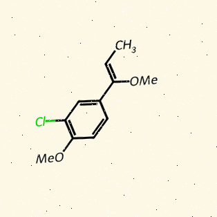 CC=C(OC)c1ccc(OC)c(Cl)c1